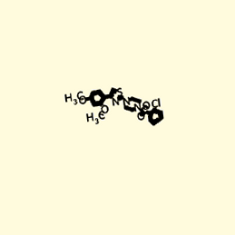 COc1ccc(-c2csc(N3CCN(S(=O)(=O)c4ccccc4Cl)CC3)n2)c(OC)c1